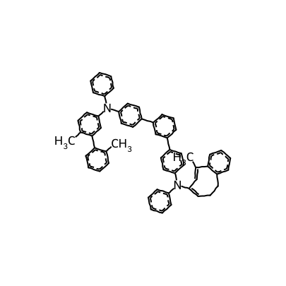 C/C1=C\C(N(c2ccccc2)c2ccc(-c3cccc(-c4ccc(N(c5ccccc5)c5ccc(C)c(-c6ccccc6C)c5)cc4)c3)cc2)=C/CCc2ccccc21